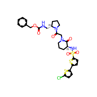 O=C(NC[C@@H]1CCCN1C(=O)CN1CCC[C@H](NS(=O)(=O)c2ccc(-c3ccc(Cl)s3)s2)C1=O)OCc1ccccc1